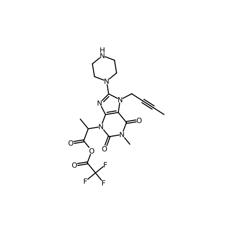 CC#CCn1c(N2CCNCC2)nc2c1c(=O)n(C)c(=O)n2C(C)C(=O)OC(=O)C(F)(F)F